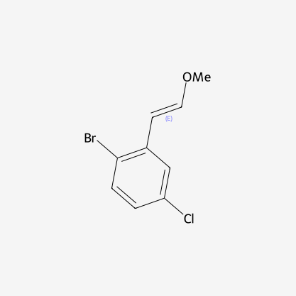 CO/C=C/c1cc(Cl)ccc1Br